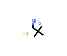 CC(C)(C)CN.F